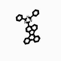 c1ccc(-c2nc(-c3ccccc3)nc(-c3ccc4c5c(cccc35)-c3c-4c4ccccc4c4ccccc34)n2)cc1